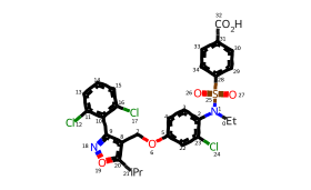 CCN(c1ccc(OCc2c(-c3c(Cl)cccc3Cl)noc2C(C)C)cc1Cl)S(=O)(=O)c1ccc(C(=O)O)cc1